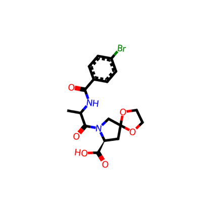 CC(NC(=O)c1ccc(Br)cc1)C(=O)N1CC2(C[C@H]1C(=O)O)OCCO2